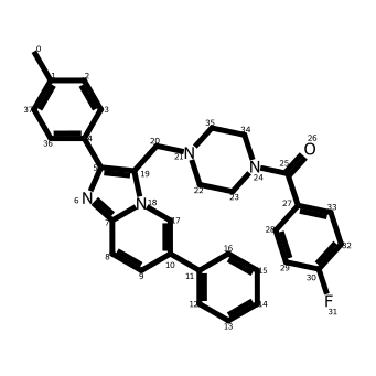 Cc1ccc(-c2nc3ccc(-c4ccccc4)cn3c2CN2CCN(C(=O)c3ccc(F)cc3)CC2)cc1